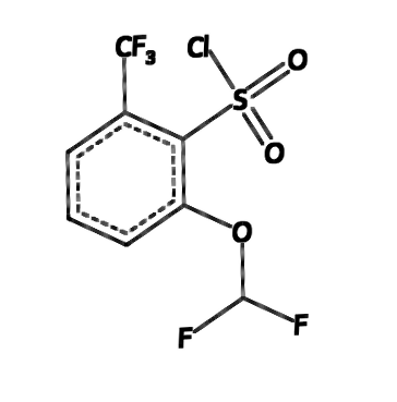 O=S(=O)(Cl)c1c(OC(F)F)cccc1C(F)(F)F